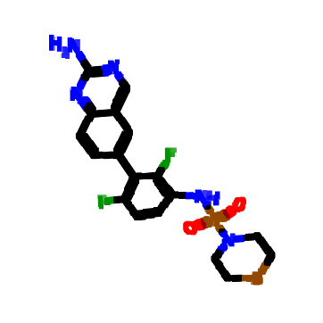 Nc1ncc2cc(-c3c(F)ccc(NS(=O)(=O)N4CCSCC4)c3F)ccc2n1